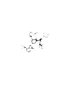 CCN1CN(C)C([C@@H](c2cc(-c3nnnn3C)cc(-n3cc4c(C(F)(F)F)cccn4c3=O)c2)C2CCC2)N1